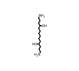 NCCCC(O)CCCCCCC(O)CCCN